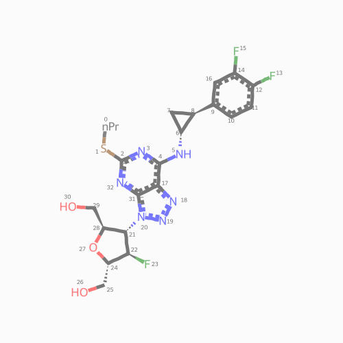 CCCSc1nc(N[C@@H]2C[C@H]2c2ccc(F)c(F)c2)c2nnn([C@@H]3[C@@H](F)[C@H](CO)O[C@H]3CO)c2n1